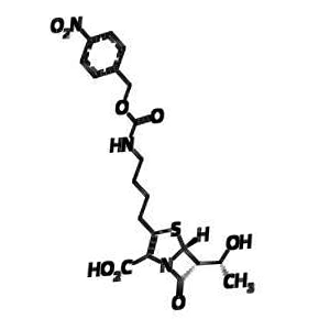 C[C@@H](O)[C@@H]1C(=O)N2C(C(=O)O)=C(CCCCNC(=O)OCc3ccc([N+](=O)[O-])cc3)S[C@H]12